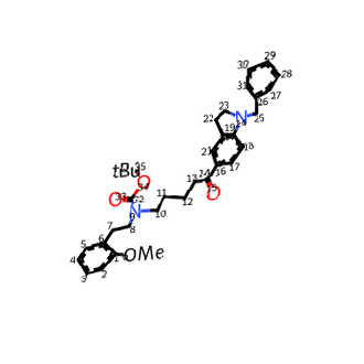 COc1ccccc1CCN(CCCCC(=O)c1ccc2c(c1)CCN2Cc1ccccc1)C(=O)OC(C)(C)C